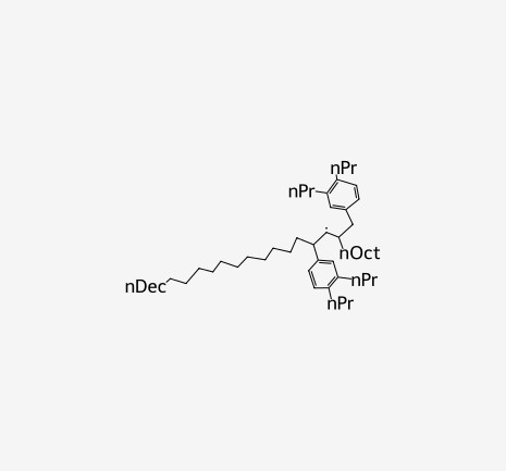 CCCCCCCCCCCCCCCCCCCCCC([CH]C(CCCCCCCC)Cc1ccc(CCC)c(CCC)c1)c1ccc(CCC)c(CCC)c1